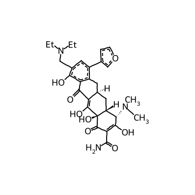 CCN(CC)Cc1cc(-c2ccoc2)c2c(c1O)C(=O)C1=C(O)[C@@]3(O)C(=O)C(C(N)=O)=C(O)[C@@H](N(C)C)[C@H]3C[C@@H]1C2